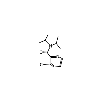 CC(C)N(C(=O)c1ncccc1Cl)C(C)C